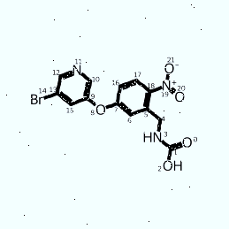 O=C(O)NCc1cc(Oc2cncc(Br)c2)ccc1[N+](=O)[O-]